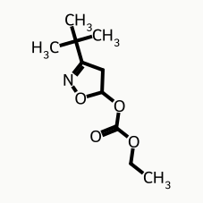 CCOC(=O)OC1CC(C(C)(C)C)=NO1